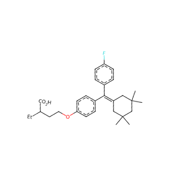 CCC(CCOc1ccc(C(=C2CC(C)(C)CC(C)(C)C2)c2ccc(F)cc2)cc1)C(=O)O